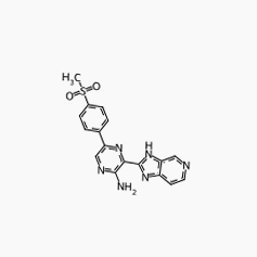 CS(=O)(=O)c1ccc(-c2cnc(N)c(-c3nc4ccncc4[nH]3)n2)cc1